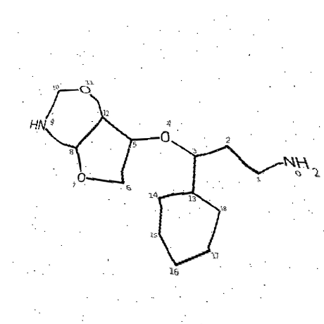 NCCC(OC1COC2NCOC12)C1CCCCC1